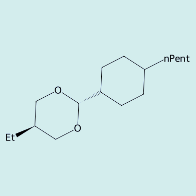 CCCCCC1CCC([C@H]2OC[C@H](CC)CO2)CC1